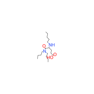 CCCCCNC(CCC(=O)O)C(=O)N(CCCC)CCCC